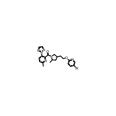 Cc1ccc(-n2nccn2)c(C(=O)N2CC(CCOc3ccc(Br)cn3)CC2C)n1